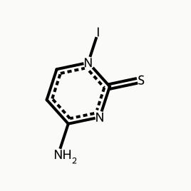 Nc1ccn(I)c(=S)n1